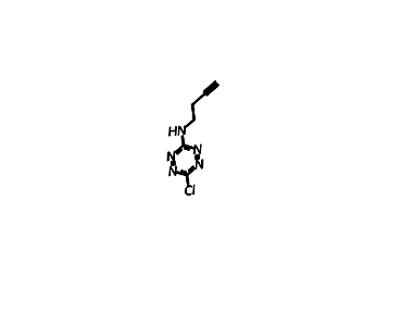 C#CCCNc1nnc(Cl)nn1